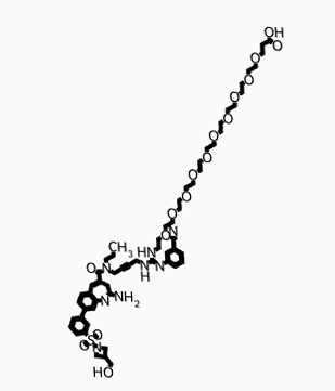 CCCN(CC#CCN/C(=N/c1cccc(C#N)c1)NCCOCCOCCOCCOCCOCCOCCOCCOCCOCCOCCC(=O)O)C(=O)C1=Cc2ccc(-c3cccc(S(=O)(=O)N4CC(CO)C4)c3)cc2N=C(N)C1